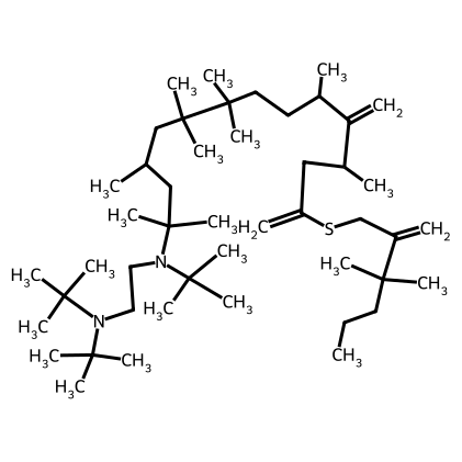 C=C(CC(C)C(=C)C(C)CCC(C)(C)C(C)(C)CC(C)CC(C)(C)N(CCN(C(C)(C)C)C(C)(C)C)C(C)(C)C)SCC(=C)C(C)(C)CCC